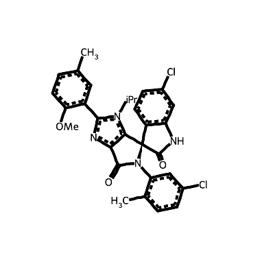 COc1ccc(C)cc1-c1nc2c(n1C(C)C)[C@]1(C(=O)Nc3cc(Cl)ccc31)N(c1cc(Cl)ccc1C)C2=O